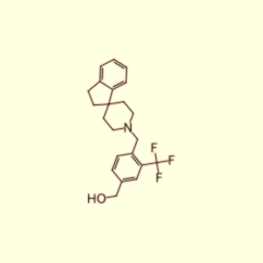 OCc1ccc(CN2CCC3(CCc4ccccc43)CC2)c(C(F)(F)F)c1